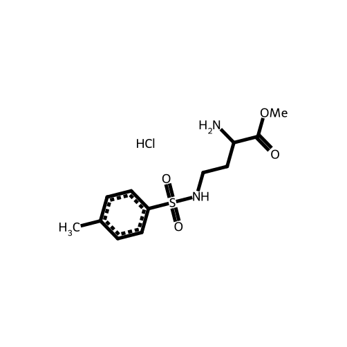 COC(=O)C(N)CCNS(=O)(=O)c1ccc(C)cc1.Cl